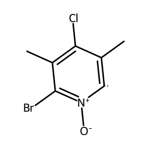 Cc1[c][n+]([O-])c(Br)c(C)c1Cl